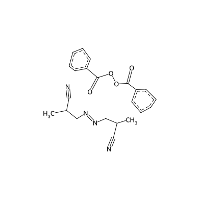 CC(C#N)CN=NCC(C)C#N.O=C(OOC(=O)c1ccccc1)c1ccccc1